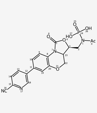 CC(=O)N(C[C@@H]1OC(=O)N2c3ccc(-c4ccc(C#N)nc4)cc3OCC12)P(=O)(O)O